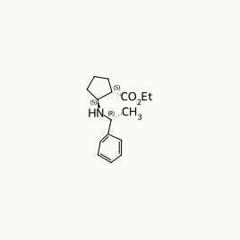 CCOC(=O)[C@H]1CCC[C@@H]1N[C@H](C)c1ccccc1